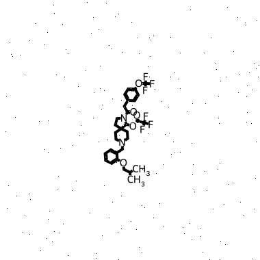 CC(C)COc1ccccc1CN1CCC2(CC1)CCN(C(=O)Cc1ccc(OC(F)(F)F)cc1)C2OC(=O)C(F)(F)F